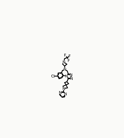 FC(F)(F)CN1CC(N2Cc3cc(Cl)ccc3-n3c(nnc3C3CC4(C3)CN(c3ncccn3)C4)C2)C1